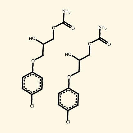 NC(=O)OCC(O)COc1ccc(Cl)cc1.NC(=O)OCC(O)COc1ccc(Cl)cc1